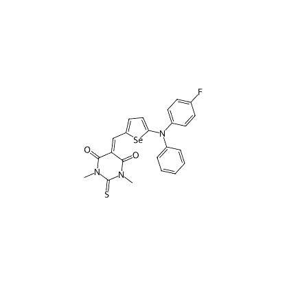 CN1C(=O)C(=Cc2ccc(N(c3ccccc3)c3ccc(F)cc3)[se]2)C(=O)N(C)C1=S